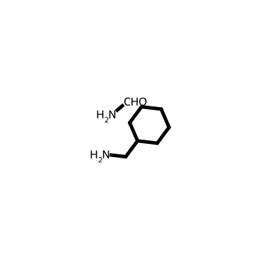 NC=O.NCC1CCCCC1